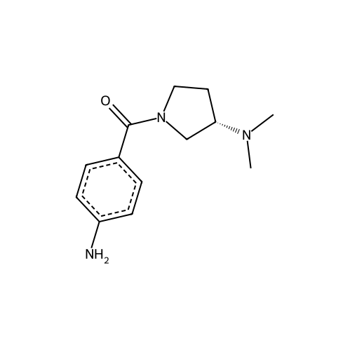 CN(C)[C@H]1CCN(C(=O)c2ccc(N)cc2)C1